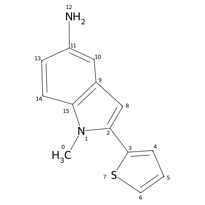 Cn1c(-c2cccs2)cc2cc(N)ccc21